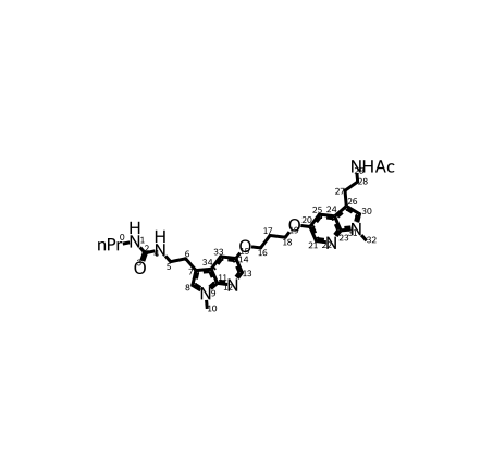 CCCNC(=O)NCCc1cn(C)c2ncc(OCCCOc3cnc4c(c3)c(CCNC(C)=O)cn4C)cc12